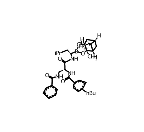 CCCCc1ccc(C(=O)N[C@@H](CNC(=O)c2ccccc2)C(=O)N[C@@H](CC(C)C)B2O[C@@H]3C[C@@H]4C[C@@H](C4(C)C)[C@]3(C)O2)cc1